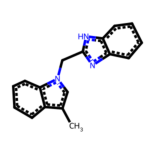 Cc1cn(Cc2nc3ccccc3[nH]2)c2ccccc12